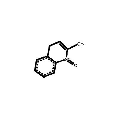 O=[N+]1C(O)=CCc2ccccc21